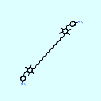 Cc1c(C)c(Cc2ccc(N)cc2)c(C)c(C)c1CCCCCCCCCCCCCCCCCc1c(C)c(C)c(Cc2ccc(N)cc2)c(C)c1C